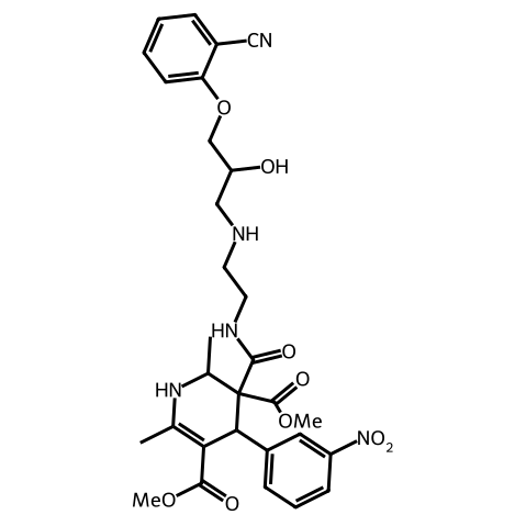 COC(=O)C1=C(C)NC(C)C(C(=O)NCCNCC(O)COc2ccccc2C#N)(C(=O)OC)C1c1cccc([N+](=O)[O-])c1